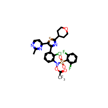 Cc1nccc(-c2sc(C3CCOCC3)nc2-c2cccc(N(OC(=O)C(F)(F)F)S(=O)(=O)c3c(F)cccc3F)c2Cl)n1